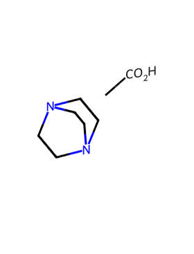 C1CN2CCN1CC2.CC(=O)O